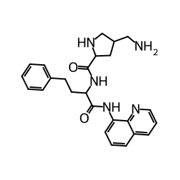 NCC1CNC(C(=O)NC(CCc2ccccc2)C(=O)Nc2cccc3cccnc23)C1